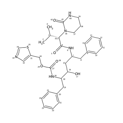 CC(C)[C@@H](C(=O)NC(Cc1ccccc1)CC(O)C(Cc1ccccc1)NC(=O)OCc1cncs1)N1CCCNC1=O